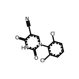 N#Cc1cn(-c2c(Cl)cccc2Cl)c(=O)[nH]c1=O